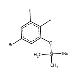 CC(C)(C)[Si](C)(C)Oc1cc(Br)cc(F)c1F